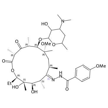 CC[C@H]1OC(=O)[C@H](C)C(=O)[C@H](C)[C@@H](OC2OC(C)CC(N(C)C)C2O)[C@](C)(OC)C[C@@H](C)/C(=N\NC(=O)c2ccc(OC)cc2)[C@H](C)[C@@H](O)[C@]1(C)O